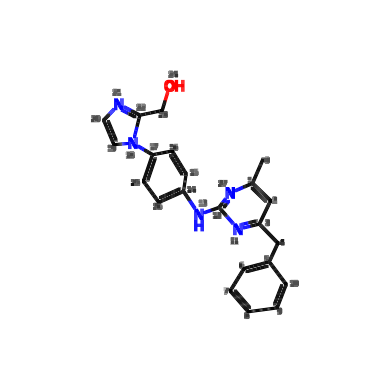 Cc1cc(Cc2ccccc2)nc(Nc2ccc(-n3ccnc3CO)cc2)n1